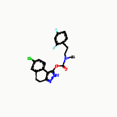 CCN(CCc1ccc(F)cc1F)C(=O)Oc1[nH]nc2c1-c1ccc(Cl)cc1CC2